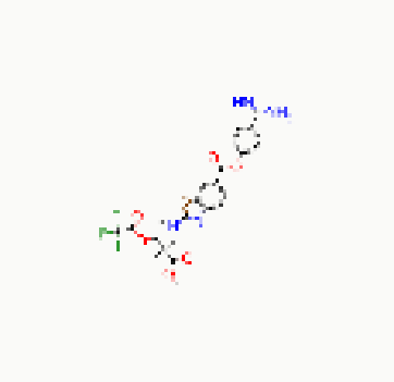 COC(=O)C(C)(COC(=O)C(F)(F)F)CN(C)c1nc2ccc(C(=O)Oc3ccc(C(=N)N)cc3)cc2s1